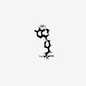 COc1c(C)ccc2c(N3CCC(CCP(=O)(O)O)CC3)ncnc12